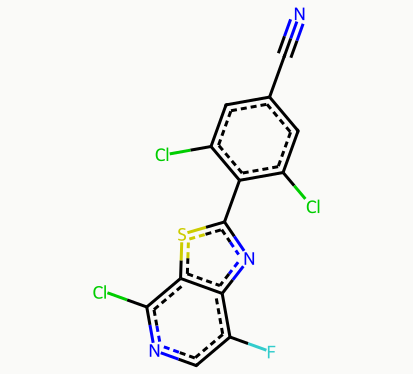 N#Cc1cc(Cl)c(-c2nc3c(F)cnc(Cl)c3s2)c(Cl)c1